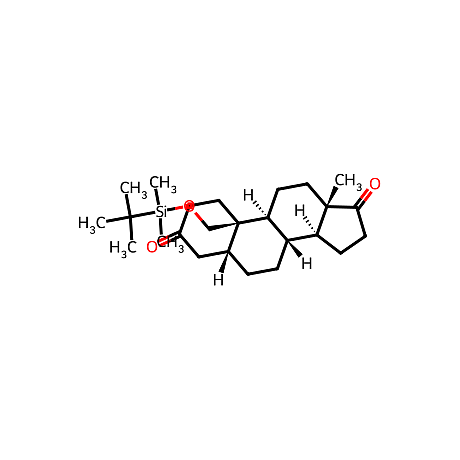 CC(C)(C)[Si](C)(C)OC[C@]12CCC(=O)C[C@H]1CC[C@@H]1[C@@H]2CC[C@]2(C)C(=O)CC[C@@H]12